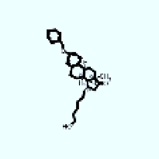 C[C@]12CC[C@@H]3c4ccc(OCc5ccccc5)cc4CC[C@H]3[C@@H]1[C@H](CCCCCCO)CC2=O